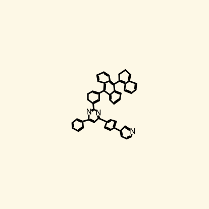 C1=C(c2nc(-c3ccccc3)cc(-c3ccc(-c4cccnc4)cc3)n2)CCC=C1c1c2ccccc2c(C2=c3ccccc3=CCC2)c2ccccc12